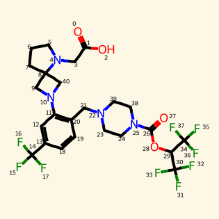 O=C(O)CN1CCCC12CN(c1cc(C(F)(F)F)ccc1CN1CCN(C(=O)OC(C(F)(F)F)C(F)(F)F)CC1)C2